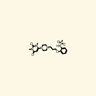 Cn1c(N2CCN(CCCOc3ccccc3NS(C)(=O)=O)CC2)cc(=O)n(C)c1=O